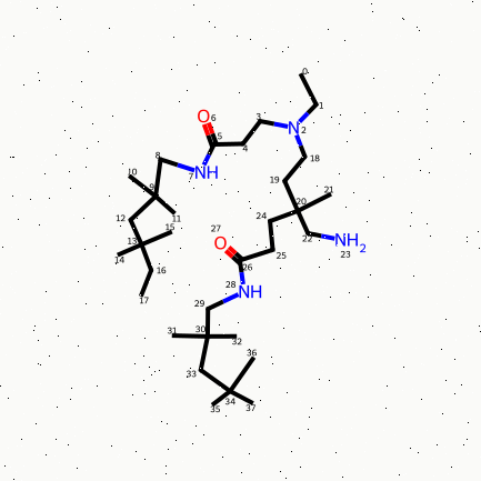 CCN(CCC(=O)NCC(C)(C)CC(C)(C)CC)CCC(C)(CN)CCC(=O)NCC(C)(C)CC(C)(C)C